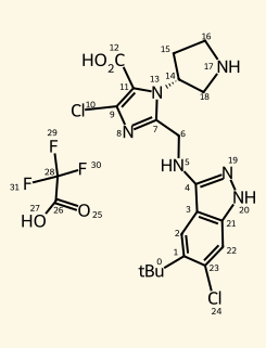 CC(C)(C)c1cc2c(NCc3nc(Cl)c(C(=O)O)n3[C@@H]3CCNC3)n[nH]c2cc1Cl.O=C(O)C(F)(F)F